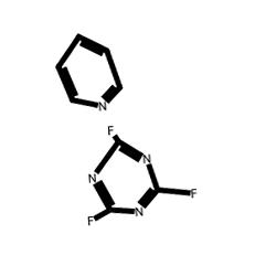 Fc1nc(F)nc(F)n1.c1ccncc1